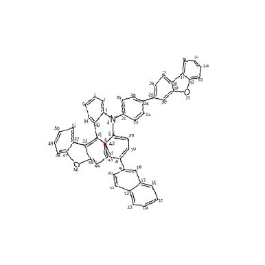 c1ccc(N(c2ccc(-c3ccc4ccccc4c3)cc2)c2ccc(-c3ccc4c(c3)oc3ccccc34)cc2)c(-c2cccc3oc4ccccc4c23)c1